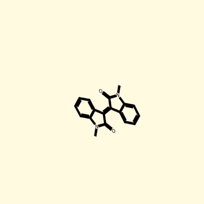 CN1C(=O)/C(=C2/C(=O)N(C)c3ccccc32)c2ccccc21